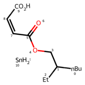 CCCCC(CC)COC(=O)/C=C\C(=O)O.[SnH2]